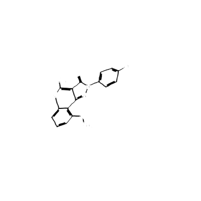 COc1cccc2oc(C)c3c(=O)n(-c4ccc(Cl)cc4)nc-3c12